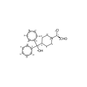 O=C[C@H](Cl)N1CCC(C(O)(c2ccccc2)c2ccccc2)CC1